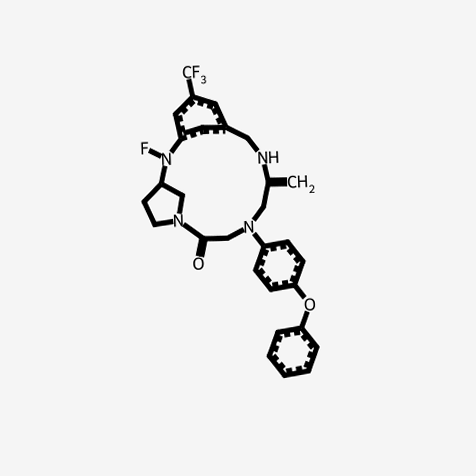 C=C1CN(c2ccc(Oc3ccccc3)cc2)CC(=O)N2CCC(C2)N(F)c2cc(cc(C(F)(F)F)c2)CN1